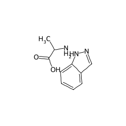 CC(N)C(=O)O.c1ccc2[nH]ncc2c1